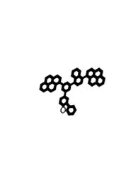 c1cc2ccc3ccc(-c4cc(-c5ccc6oc7ccccc7c6c5)cc(-c5ccc(-c6ccc7ccc8cccc9ccc6c7c89)c6ccccc56)c4)c4ccc(c1)c2c34